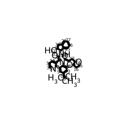 CC(C)(C)c1ccc(N(C(=O)C2CC3OCCC3O2)C(C(=O)N[C@@H]2c3ccccc3C[C@@H]2O)c2cccnc2)cc1